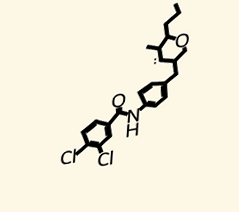 CCCC1OCC(Cc2ccc(NC(=O)c3ccc(Cl)c(Cl)c3)cc2)[C]C1C